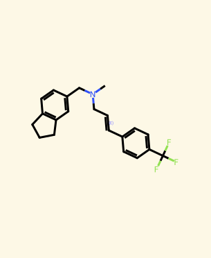 CN(C/C=C/c1ccc(C(F)(F)F)cc1)Cc1ccc2c(c1)CCC2